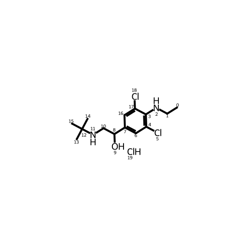 CCNc1c(Cl)cc(C(O)CNC(C)(C)C)cc1Cl.Cl